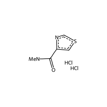 CNC(=O)c1cscn1.Cl.Cl